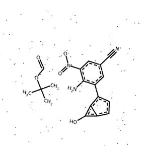 CC(C)(C)OC=O.N#Cc1cc(-c2ccc3c(O)c2-3)c(N)c([N+](=O)[O-])c1